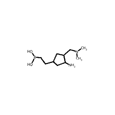 CN(C)CC1CC(CCB(O)O)CC1N